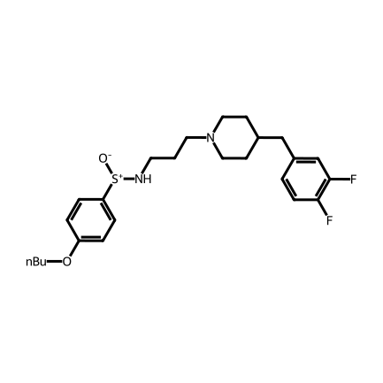 CCCCOc1ccc([S+]([O-])NCCCN2CCC(Cc3ccc(F)c(F)c3)CC2)cc1